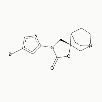 O=C1O[C@]2(CN3CCC2CC3)CN1c1cc(Br)cs1